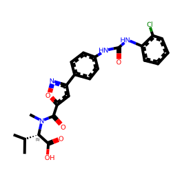 CC(C)[C@@H](C(=O)O)N(C)C(=O)c1cc(-c2ccc(NC(=O)Nc3ccccc3Cl)cc2)no1